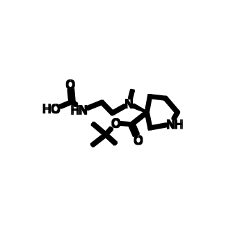 CN(CCNC(=O)O)[C@@]1(C(=O)OC(C)(C)C)CCCNC1